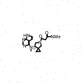 CNC(=O)CC(=O)N1C[C@@H](N(C)c2ncnc3[nH]ccc23)C2(CC2)C1